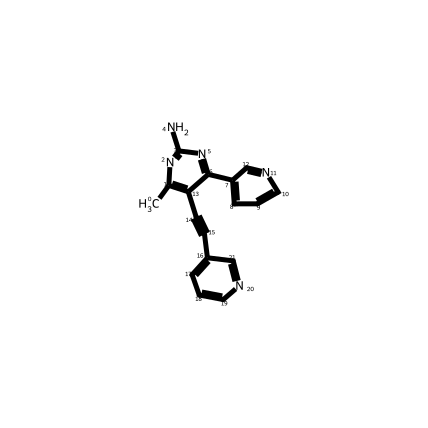 Cc1nc(N)nc(-c2cccnc2)c1C#Cc1cccnc1